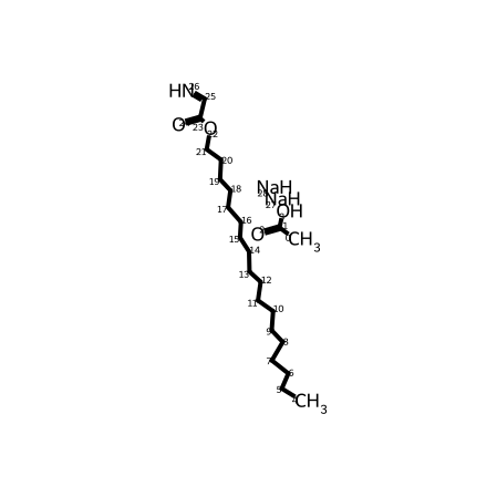 CC(=O)O.CCCCCCCCCCCCCCCCCCOC(=O)C=N.[NaH].[NaH]